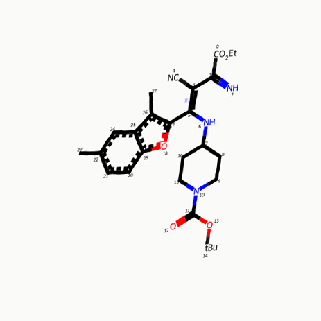 CCOC(=O)C(=N)/C(C#N)=C(\NC1CCN(C(=O)OC(C)(C)C)CC1)c1oc2ccc(C)cc2c1C